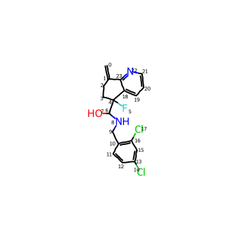 C=C1CCC(F)(C(O)NCc2ccc(Cl)cc2Cl)c2cccnc21